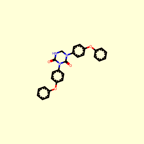 O=C1NCN(c2ccc(Oc3ccccc3)cc2)C(=O)N1c1ccc(Oc2ccccc2)cc1